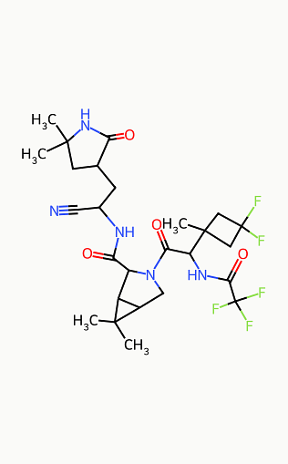 CC1(C)CC(CC(C#N)NC(=O)C2C3C(CN2C(=O)C(NC(=O)C(F)(F)F)C2(C)CC(F)(F)C2)C3(C)C)C(=O)N1